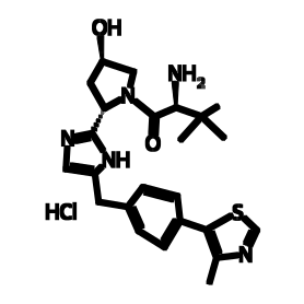 Cc1ncsc1-c1ccc(Cc2cnc([C@@H]3C[C@@H](O)CN3C(=O)[C@@H](N)C(C)(C)C)[nH]2)cc1.Cl